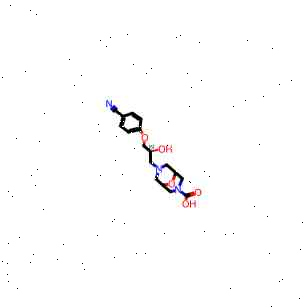 N#Cc1ccc(OC[C@@H](O)CN2CC3CN(C(=O)O)CC(C2)O3)cc1